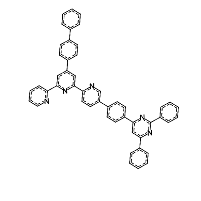 c1ccc(-c2ccc(-c3cc(-c4ccccn4)nc(-c4ccc(-c5ccc(-c6cc(-c7ccccc7)nc(-c7ccccc7)n6)cc5)cn4)c3)cc2)cc1